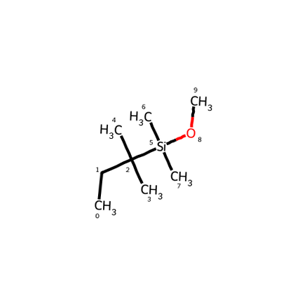 CCC(C)(C)[Si](C)(C)OC